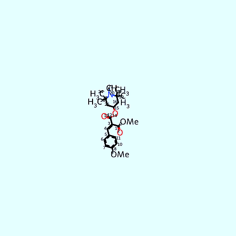 COC(=O)/C(=C\c1ccc(OC)cc1)C(=O)OC1CC(C)(C)N(C)C(C)(C)C1